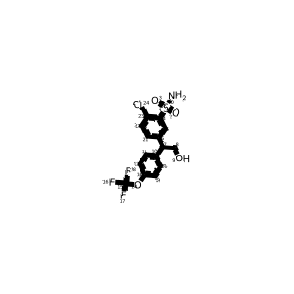 NS(=O)(=O)c1cc(C(CO)c2ccc(OC(F)(F)F)cc2)ccc1Cl